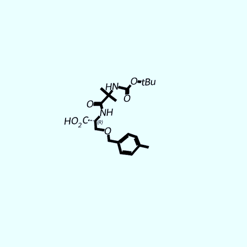 Cc1ccc(COC[C@@H](NC(=O)C(C)(C)NC(=O)OC(C)(C)C)C(=O)O)cc1